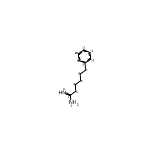 N=C(N)CCCCCc1ccccc1